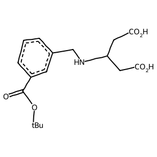 CC(C)(C)OC(=O)c1cccc(CNC(CC(=O)O)CC(=O)O)c1